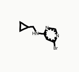 Brc1cc(NCC2CC2)ncn1